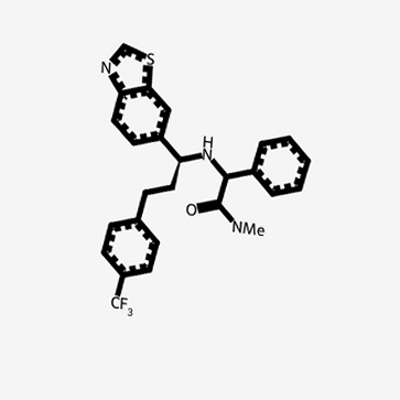 CNC(=O)C(N[C@@H](CCc1ccc(C(F)(F)F)cc1)c1ccc2ncsc2c1)c1ccccc1